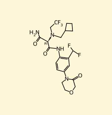 NC(=O)[C@H](C(=O)Nc1ccc(N2CCOCC2=O)cc1C(F)F)N(CC1CCC1)CC(F)(F)F